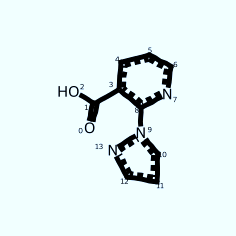 O=C(O)c1cccnc1-n1cccn1